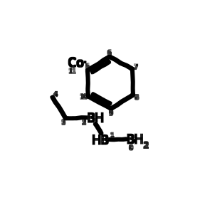 BBBCC.C1=CCCC=C1.[Co]